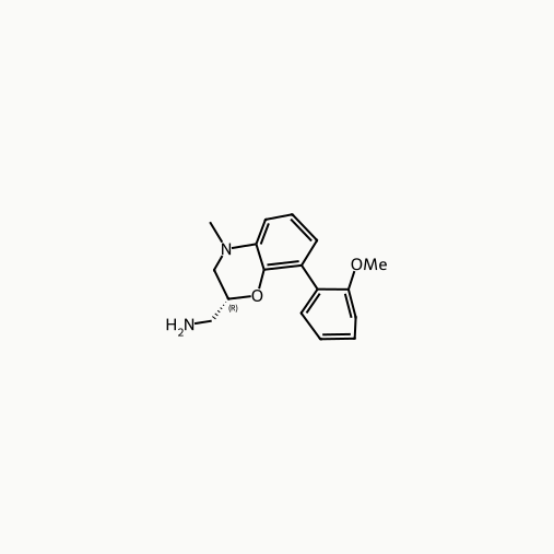 COc1ccccc1-c1cccc2c1O[C@H](CN)CN2C